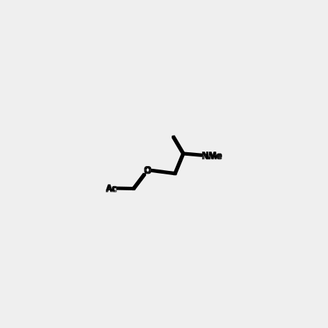 CNC(C)COCC(C)=O